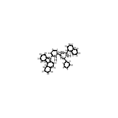 C1=CC(C2=NC(c3ccccc3)NC(c3cccc4ccccc34)N2)NC(n2c3ccccc3c3c4ccccc4ccc32)=C1